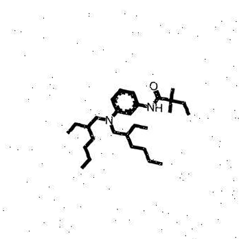 CCCCC(CC)CN(CC(CC)CCCC)c1cccc(NC(=O)C(C)(C)CC)c1